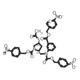 CC(=O)S[C@H]1C[C@@H](CN(C(=O)OCc2ccc([N+](=O)[O-])cc2)c2cccc(C(=O)OCc3ccc([N+](=O)[O-])cc3)c2)N(C(=O)OCc2ccc([N+](=O)[O-])cc2)C1